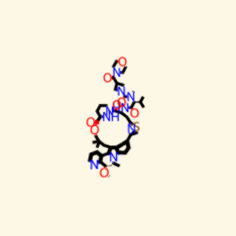 CCn1c(-c2cccnc2[C@H](C)OC)c2c3cc(ccc31)-c1csc(n1)C[C@H](NC(=O)[C@H](C(C)C)N(C)C(=O)N1CC(C(=O)N3CCOCC3)C1)C(=O)N1CCCC(C=O)(COCC(C)(C)C2)N1